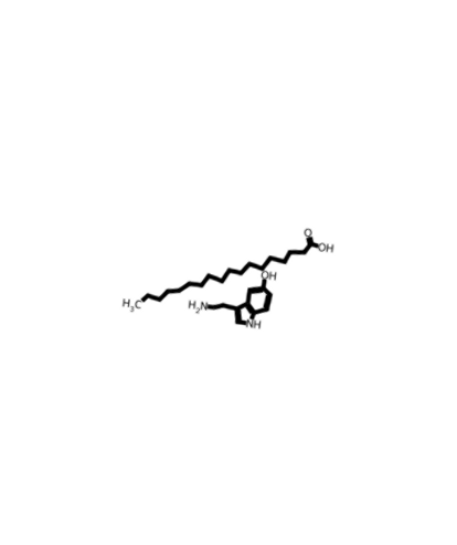 CCCCCCCCCCCCCCCCCC(=O)O.NCCc1c[nH]c2ccc(O)cc12